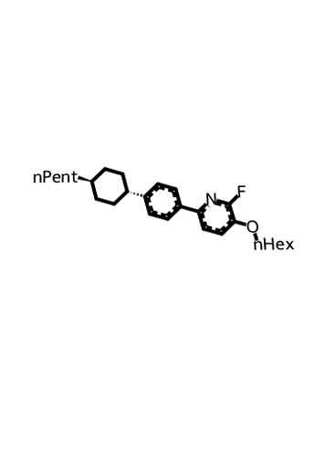 CCCCCCOc1ccc(-c2ccc([C@H]3CC[C@H](CCCCC)CC3)cc2)nc1F